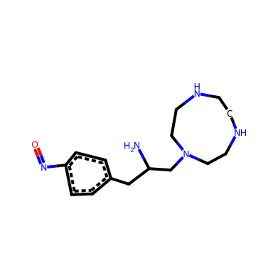 NC(Cc1ccc(N=O)cc1)CN1CCNCCNCC1